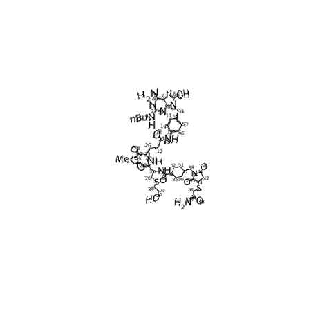 CCCCNc1nc(N)c2nc(O)n(Cc3ccc(NC(=O)CCC(NC(=O)C(CSCCO)NC(=O)C4CCC(CN5C(=O)CC(SCC(N)=O)C5=O)CC4)C(=O)OC)cc3)c2n1